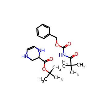 CC(C)(C)C(=O)NC(=O)OCc1ccccc1.CC(C)(C)OC(=O)C1CNC=CN1